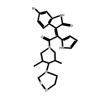 CC1CN(C(=O)C(=C2C(=O)Nc3cc(Br)ccc32)c2ccc[nH]2)CC(C)C1N1CCOCC1